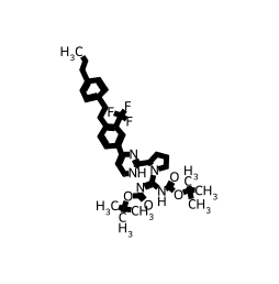 CCCc1ccc(CCc2ccc(C3=CCNC(C4CCCN4C(=NC(=O)OC(C)(C)C)NC(=O)OC(C)(C)C)=N3)cc2C(F)(F)F)cc1